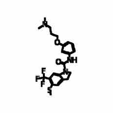 CSc1cc2c(cc1C(F)(F)F)N(C(=O)Nc1cccc(OCCCN(C)C)c1)CC2